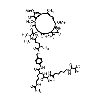 CCC(CC)C(=O)NCCCCCC(=O)N[C@H](C(=O)N[C@@H](CCCNC(N)=O)C(=O)Nc1ccc(COC(=O)N(C)CCC(=O)N(C)[C@@H](C)C(=O)O[C@H]2CC(=O)N(C)c3cc(cc(OC)c3Cl)C/C(C)=C/C=C/[C@@H](OC)[C@@]3(O)C[C@H](OC(=O)N3)[C@@H](C)[C@@H]3O[C@@]23C)cc1)C(C)C